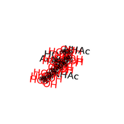 CC(=O)N[C@H]1[C@H](O[C@H]2[C@@H](O)[C@@H](CO)O[C@@H](O[C@H]3[C@H](O)[C@@H](O)[C@H](O)O[C@@H]3CO)[C@@H]2O)O[C@H](CO)[C@@H](O[C@@H]2O[C@H](CO)[C@H](O)[C@H](O[C@H]3O[C@H](CO)[C@H](O)[C@H](O[C@@H]4O[C@H](CO)[C@H](O)[C@H](O[C@]5(C(=O)O)C[C@H](O)[C@@H](NC(C)=O)[C@H]([C@H](O)[C@H](O)CO)O5)[C@H]4O)[C@H]3NC(C)=O)[C@H]2O[C@@H]2O[C@@H](C)[C@@H](O)[C@@H](O)[C@@H]2O)[C@@H]1O